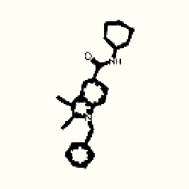 Cc1c(C)n(Cc2ccccc2)c2ccc(C(=O)NC3CCCCC3)cc12